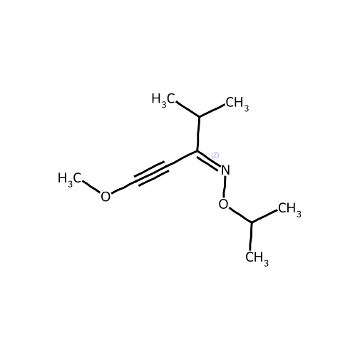 COC#C/C(=N\OC(C)C)C(C)C